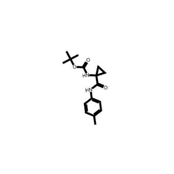 Cc1ccc(NC(=O)C2(NC(=O)OC(C)(C)C)CC2)cc1